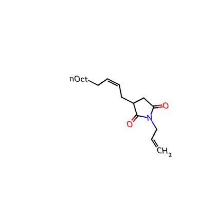 C=CCN1C(=O)CC(C/C=C\CCCCCCCCC)C1=O